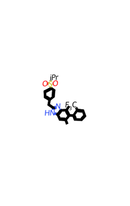 Cc1cc2[nH]c(Cc3ccc(S(=O)(=O)C(C)C)cc3)nc2c(C)c1-c1ccccc1C(F)(F)F